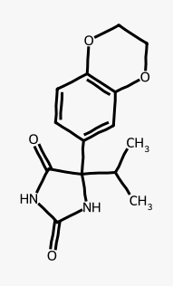 CC(C)C1(c2ccc3c(c2)OCCO3)NC(=O)NC1=O